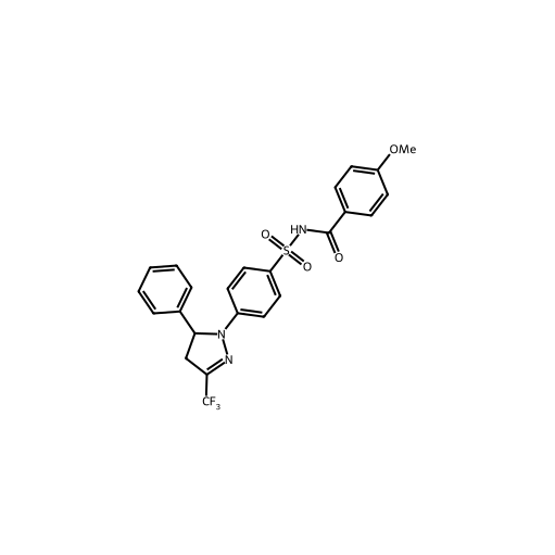 COc1ccc(C(=O)NS(=O)(=O)c2ccc(N3N=C(C(F)(F)F)CC3c3ccccc3)cc2)cc1